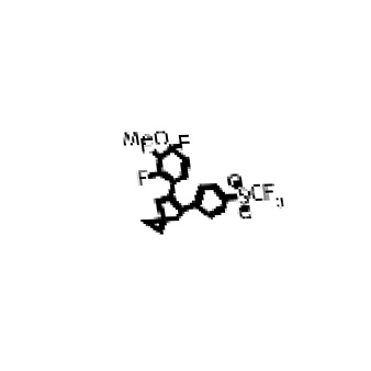 COC1(F)C=CC(C2=C(c3ccc(S(=O)(=O)C(F)(F)F)cc3)CC3(CC3)C2)=C(F)C1F